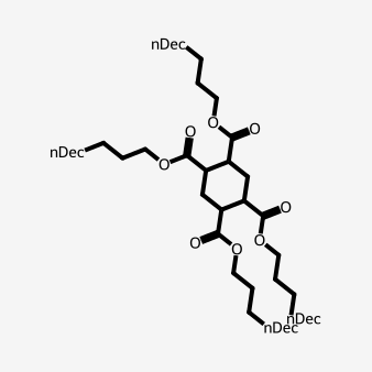 CCCCCCCCCCCCCOC(=O)C1CC(C(=O)OCCCCCCCCCCCCC)C(C(=O)OCCCCCCCCCCCCC)CC1C(=O)OCCCCCCCCCCCCC